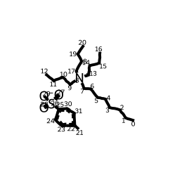 CCCCCCCC[N+](CCCC)(CCCC)CCCC.Cc1ccc(S(=O)(=O)[O-])cc1